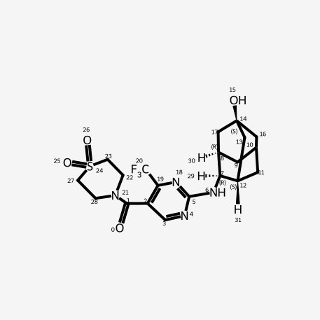 O=C(c1cnc(N[C@H]2[C@@H]3CC4C[C@H]2C[C@@](O)(C4)C3)nc1C(F)(F)F)N1CCS(=O)(=O)CC1